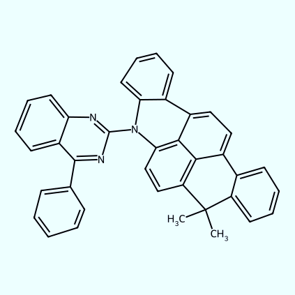 CC1(C)c2ccccc2-c2ccc3c4c(ccc1c24)N(c1nc(-c2ccccc2)c2ccccc2n1)c1ccccc1-3